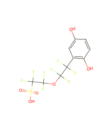 O=S(=O)(O)C(F)(F)C(F)(F)OC(F)(F)C(F)(F)c1cc(O)ccc1O